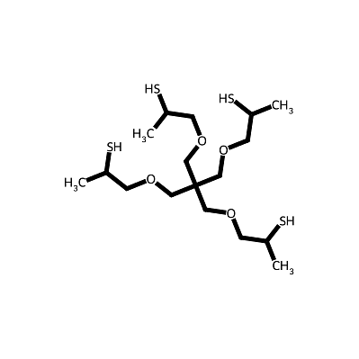 CC(S)COCC(COCC(C)S)(COCC(C)S)COCC(C)S